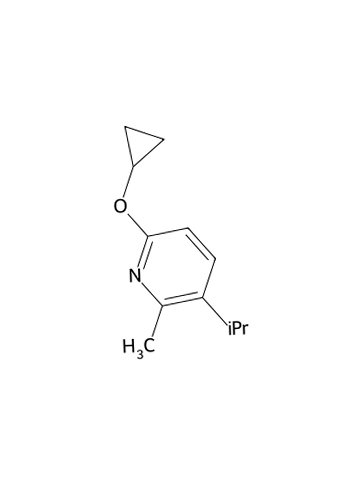 Cc1nc(OC2CC2)ccc1C(C)C